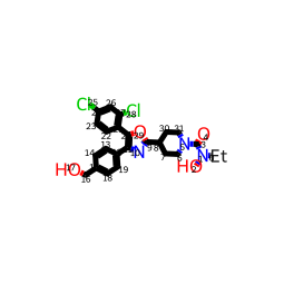 CCN(O)C(=O)N1CCC(c2nc(-c3ccc(CO)cc3)c(-c3ccc(Cl)cc3Cl)o2)CC1